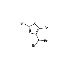 Brc1cc(C(Br)Br)c(Br)s1